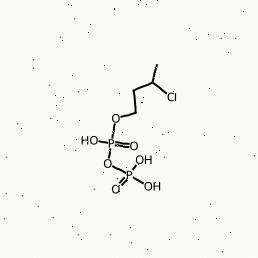 CC(Cl)CCOP(=O)(O)OP(=O)(O)O